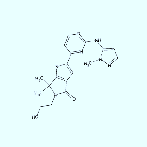 Cn1nccc1Nc1nccc(-c2cc3c(s2)C(C)(C)N(CCO)C3=O)n1